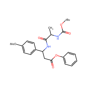 COc1ccc(C(CC(=O)Oc2ccccc2)NC(=O)C(C)NC(=O)OC(C)(C)C)cc1